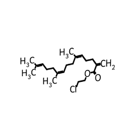 C=C(CCC=C(C)CCC=C(C)CCC=C(C)C)C(=O)OCCCl